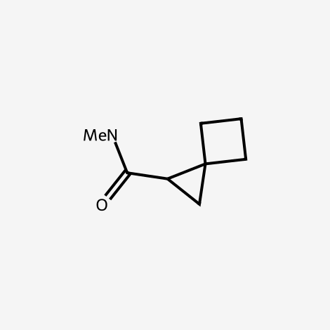 CNC(=O)C1CC12CCC2